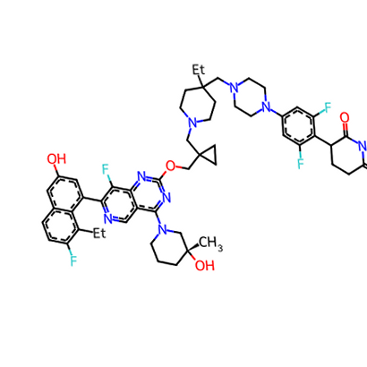 CCc1c(F)ccc2cc(O)cc(-c3ncc4c(N5CCC[C@@](C)(O)C5)nc(OCC5(CN6CCC(CC)(CN7CCN(c8cc(F)c(C9CCC(=O)NC9=O)c(F)c8)CC7)CC6)CC5)nc4c3F)c12